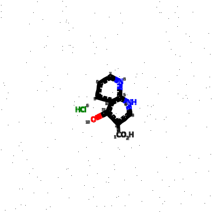 Cl.O=C(O)c1c[nH]c2ncccc2c1=O